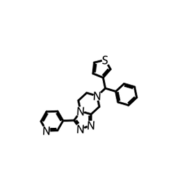 c1ccc(C(c2ccsc2)N2CCn3c(nnc3-c3cccnc3)C2)cc1